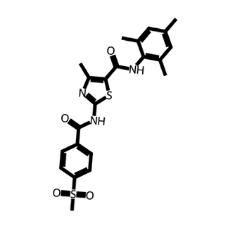 Cc1cc(C)c(NC(=O)c2sc(NC(=O)c3ccc(S(C)(=O)=O)cc3)nc2C)c(C)c1